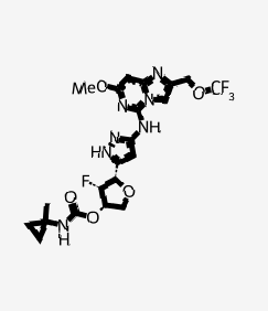 COc1cc2nc(COC(F)(F)F)cn2c(Nc2cc([C@@H]3OC[C@H](OC(=O)NC4(C)CC4)[C@@H]3F)[nH]n2)n1